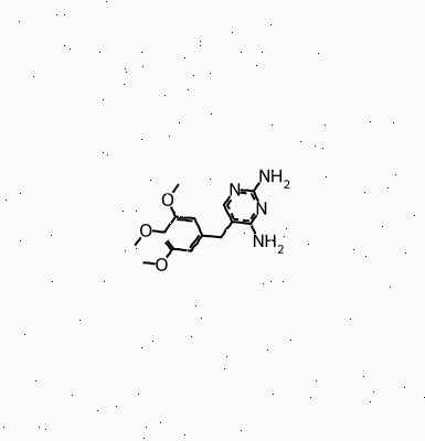 C=C(/C=C(\C=C(/COC)OC)Cc1cnc(N)nc1N)OC